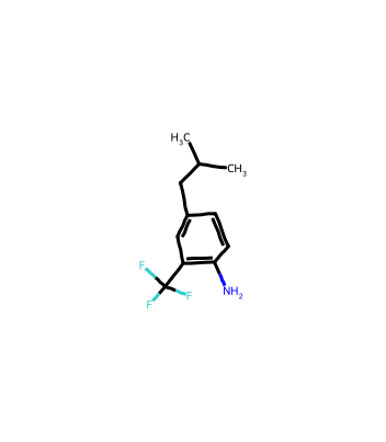 CC(C)Cc1ccc(N)c(C(F)(F)F)c1